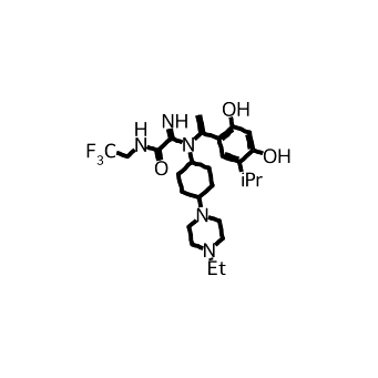 C=C(c1cc(C(C)C)c(O)cc1O)N(C(=N)C(=O)NCC(F)(F)F)C1CCC(N2CCN(CC)CC2)CC1